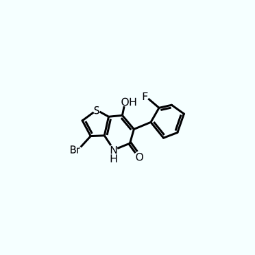 O=c1[nH]c2c(Br)csc2c(O)c1-c1ccccc1F